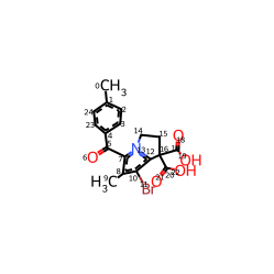 Cc1ccc(C(=O)c2c(C)c(Br)c3n2CCC3(C(=O)O)C(=O)O)cc1